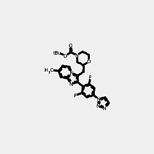 Cc1ccn2c(CC3CN(C(=O)OC(C)(C)C)CCO3)c(-c3c(F)cc(-n4ccnn4)cc3F)nc2c1